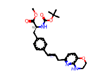 COC(=O)[C@H](Cc1ccc(/C=C/Cc2ccc3c(n2)NCCO3)cc1)NC(=O)OC(C)(C)C